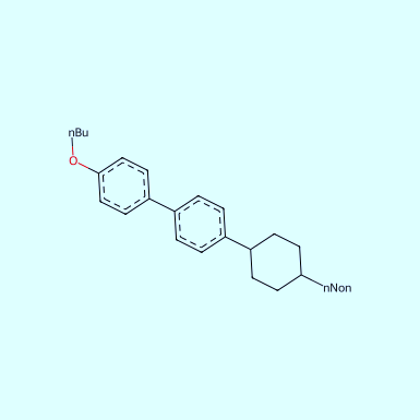 CCCCCCCCCC1CCC(c2ccc(-c3ccc(OCCCC)cc3)cc2)CC1